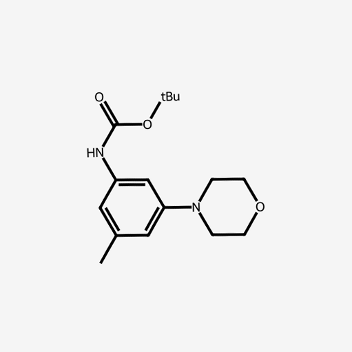 Cc1cc(NC(=O)OC(C)(C)C)cc(N2CCOCC2)c1